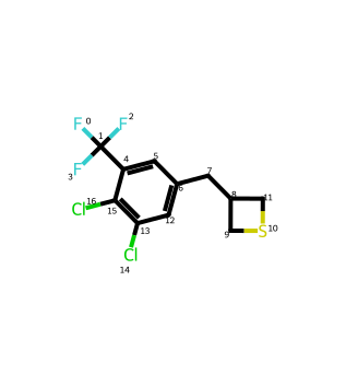 FC(F)(F)c1cc(CC2CSC2)cc(Cl)c1Cl